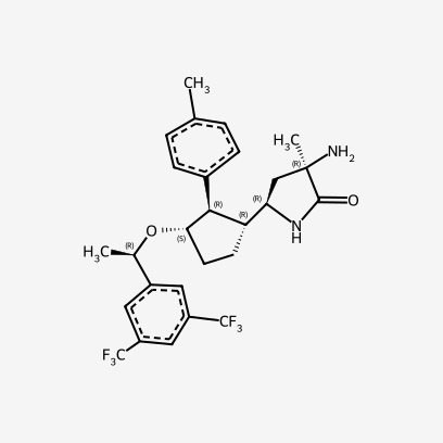 Cc1ccc([C@H]2[C@H]([C@H]3C[C@@](C)(N)C(=O)N3)CC[C@@H]2O[C@H](C)c2cc(C(F)(F)F)cc(C(F)(F)F)c2)cc1